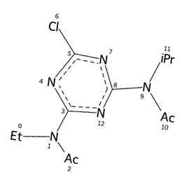 CCN(C(C)=O)c1nc(Cl)nc(N(C(C)=O)C(C)C)n1